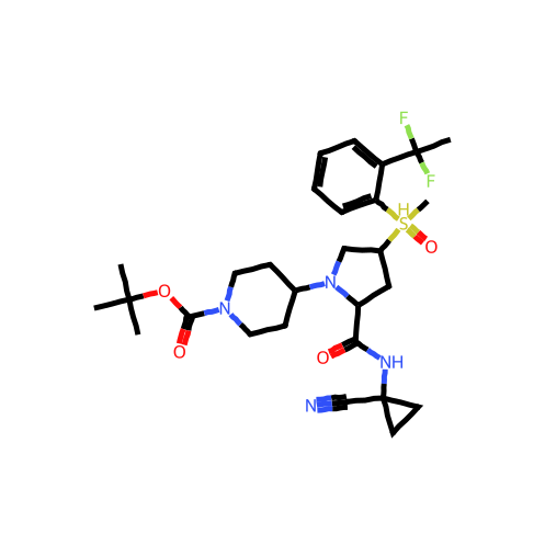 CC(C)(C)OC(=O)N1CCC(N2CC([SH](C)(=O)c3ccccc3C(C)(F)F)CC2C(=O)NC2(C#N)CC2)CC1